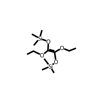 CCOC(O[Si](C)(C)C)=C(OCC)O[Si](C)(C)C